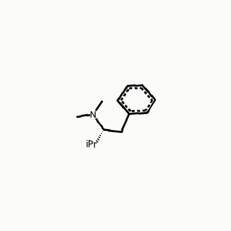 CC(C)[C@@H](Cc1ccccc1)N(C)C